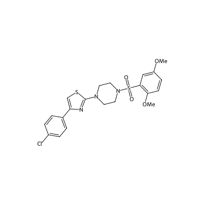 COc1ccc(OC)c(S(=O)(=O)N2CCN(c3nc(-c4ccc(Cl)cc4)cs3)CC2)c1